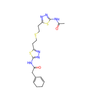 CC(=O)Nc1nnc(CCSCCc2nnc(NC(=O)CC3=CCCC=C3)s2)s1